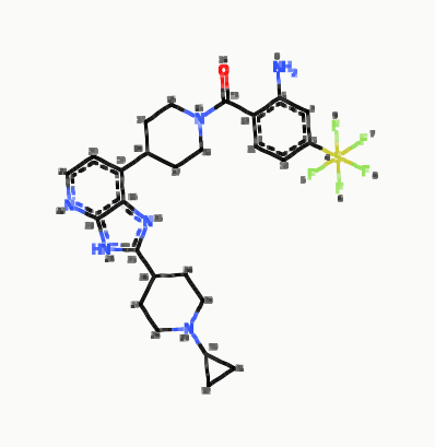 Nc1cc(S(F)(F)(F)(F)F)ccc1C(=O)N1CCC(c2ccnc3[nH]c(C4CCN(C5CC5)CC4)nc23)CC1